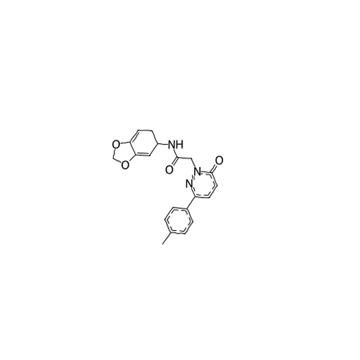 Cc1ccc(-c2ccc(=O)n(CC(=O)NC3C=C4OCOC4=CC3)n2)cc1